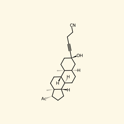 CC(=O)[C@H]1CC[C@H]2[C@@H]3CC[C@@H]4C[C@@](O)(C#CCCC#N)CC[C@]4(C)[C@H]3CC[C@]12C